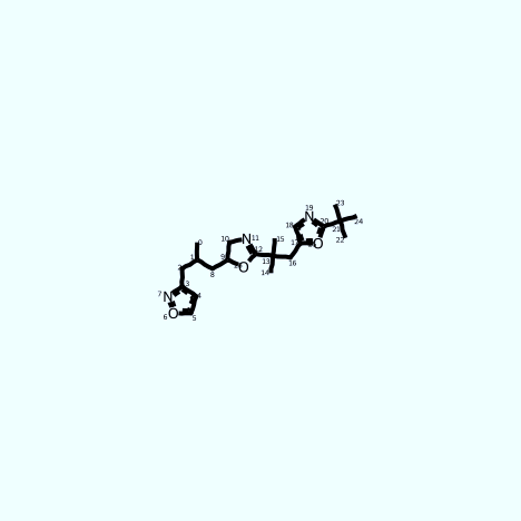 CC(Cc1ccon1)CC1CN=C(C(C)(C)Cc2cnc(C(C)(C)C)o2)O1